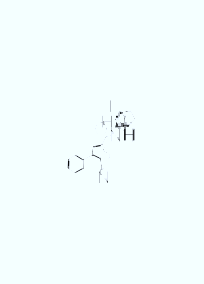 N#Cc1sc(C(=O)N[C@@H]2C[C@H]3CC[C@@H]2N3)cc1-c1ccccc1